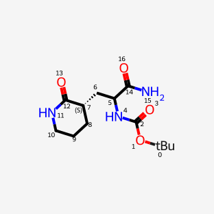 CC(C)(C)OC(=O)NC(C[C@@H]1CCCNC1=O)C(N)=O